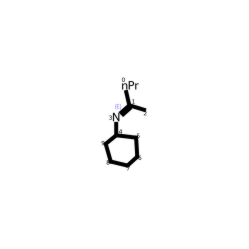 CCC/C(C)=N/C1CCCCC1